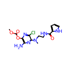 COC(=O)Oc1nc(Cl)c(N(C)CCNC(=O)c2ccc[nH]2)nc1N